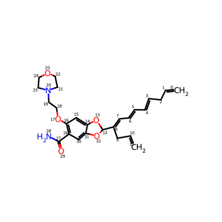 C=CCC=CC=CC=C(CC=C)C1Oc2cc(OCCN3CCOCC3)c(C(N)=O)cc2O1